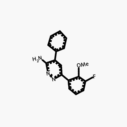 COc1c(F)cccc1-c1cc(-c2ccccc2)c(N)nn1